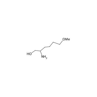 COCCCCC(N)CO